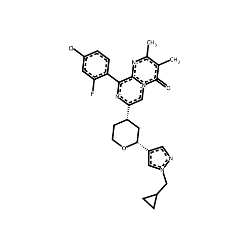 Cc1nc2c(-c3ccc(Cl)cc3F)nc([C@H]3CCO[C@@H](c4cnn(CC5CC5)c4)C3)cn2c(=O)c1C